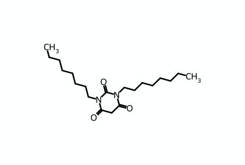 CCCCCCCCN1C(=O)CC(=O)N(CCCCCCCC)C1=O